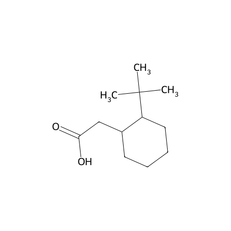 CC(C)(C)C1CCCCC1CC(=O)O